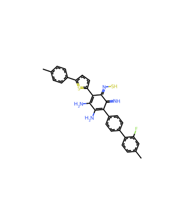 Cc1ccc(-c2ccc(C3=C(N)C(N)=C(c4ccc(-c5ccc(C)cc5F)cc4)C(=N)/C3=N\S)s2)cc1